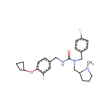 CN1CCCC1CN(Cc1ccc(F)cc1)C(=O)NCc1ccc(OC2CCC2)c(F)c1